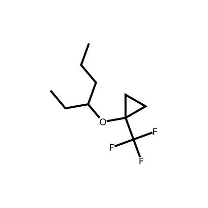 CCCC(CC)OC1(C(F)(F)F)CC1